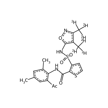 [2H]C([2H])([2H])c1noc(NS(=O)(=O)c2ccsc2C(=O)Nc2c(C)cc(C)cc2C(C)=O)c1C([2H])([2H])[2H]